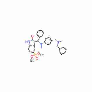 CCOP(=O)(OCC)c1ccc2c(c1)C(=C(Nc1ccc(CN(C)Cc3ccccc3)cc1)c1ccccc1)C(=O)N2